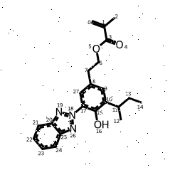 C=C(C)C(=O)OCCc1cc(C(C)CC)c(O)c(-n2nc3ccccc3n2)c1